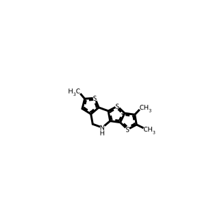 Cc1cc2c(s1)-c1sc3c(C)c(C)sc3c1NC2